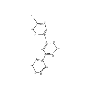 IC1=CC=C(C2=CC(C3=CCCC=C3)=CCC2)CC1